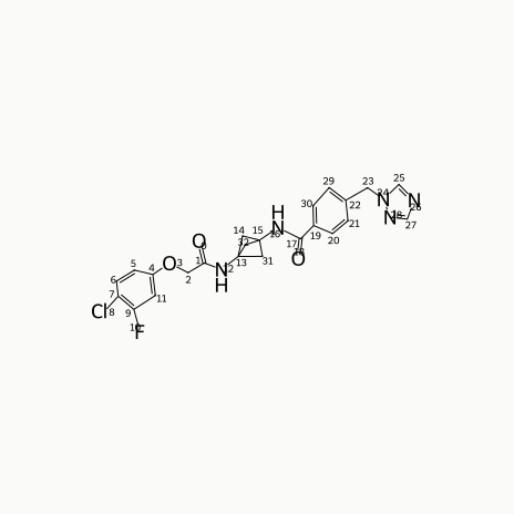 O=C(COc1ccc(Cl)c(F)c1)NC12CC(NC(=O)c3ccc(Cn4cncn4)cc3)(C1)C2